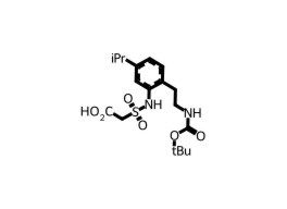 CC(C)c1ccc(CCNC(=O)OC(C)(C)C)c(NS(=O)(=O)CC(=O)O)c1